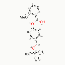 COc1ccccc1C(O)Oc1ccc(CO[Si](C)(C)C(C)(C)C)cc1